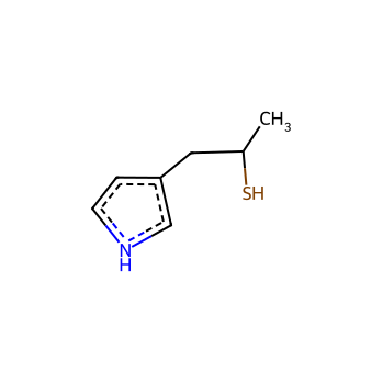 CC(S)Cc1cc[nH]c1